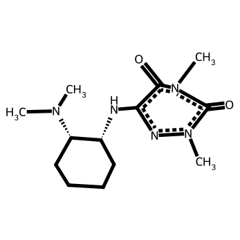 CN(C)[C@H]1CCCC[C@H]1Nc1nn(C)c(=O)n(C)c1=O